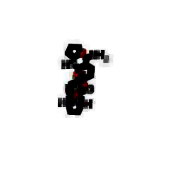 CC(=O)c1ccc(N2[C@@H]3CC[C@H]2C[C@@H](NC(=O)c2ccc(C(N)=O)c(NC4CCCC4)c2)C3)nc1